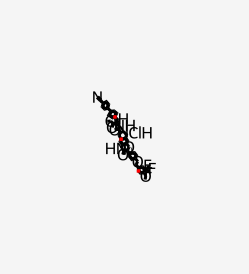 COC(=O)C(Cc1ccc(-c2ccc(C#N)cc2)cc1)NC(=O)C1Cc2cc3c(cc2CN1)O[C@@H](c1ccc(OCc2ccc(OC)c(C(F)(F)F)c2)cc1)C(=O)N3.Cl